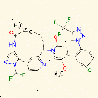 COc1cn(C2CCC[C@@H](C)C(=O)Nc3cnn(C(F)F)c3-c3ccnc2c3)c(=O)cc1-c1cc(Cl)ccc1-n1cc(C(F)(F)F)nn1